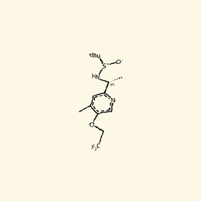 Cc1cc([C@@H](C)N[S+]([O-])C(C)(C)C)ncc1OCC(F)(F)F